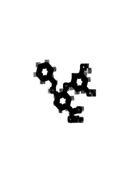 COC(=O)c1ccc(OCc2ccccc2)c(Oc2cc(C#N)cc(C(F)(F)F)n2)c1